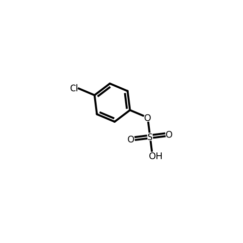 O=S(=O)(O)Oc1ccc(Cl)cc1